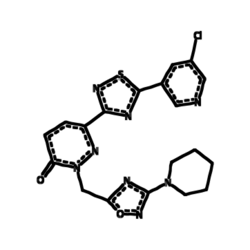 O=c1ccc(-c2nsc(-c3cncc(Cl)c3)n2)nn1Cc1nc(N2CCCCC2)no1